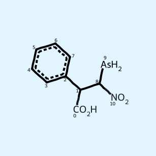 O=C(O)C(c1ccccc1)C([AsH2])[N+](=O)[O-]